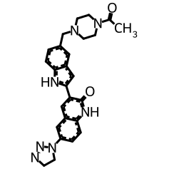 CC(=O)N1CCN(Cc2ccc3[nH]c(-c4cc5cc(N6CCN=N6)ccc5[nH]c4=O)cc3c2)CC1